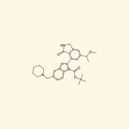 COC(C)c1cc2c(c(-c3cc4cc(CN5CCCCC5)ccc4n3C(=O)OC(C)(C)C)c1)C(=O)NC2